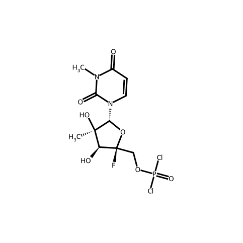 Cn1c(=O)ccn([C@@H]2O[C@](F)(COP(=O)(Cl)Cl)[C@@H](O)[C@@]2(C)O)c1=O